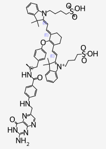 C[C@@H](Cc1ccc(OC2=C(/C=C/C3=[N+](CCCCS(=O)(=O)O)c4ccccc4C3(C)C)CCC/C2=C\C=C2\N(CCCCS(=O)(=O)O)c3ccccc3C2(C)C)cc1)NC(=O)c1ccc(NCc2cnc3nc(N)[nH]c(=O)c3n2)cc1